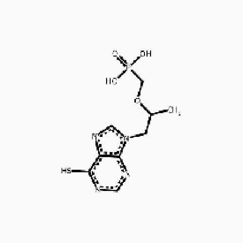 CC(Cn1cnc2c(S)ncnc21)OCP(=O)(O)O